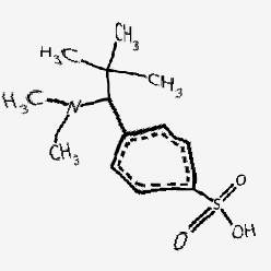 CN(C)C(c1ccc(S(=O)(=O)O)cc1)C(C)(C)C